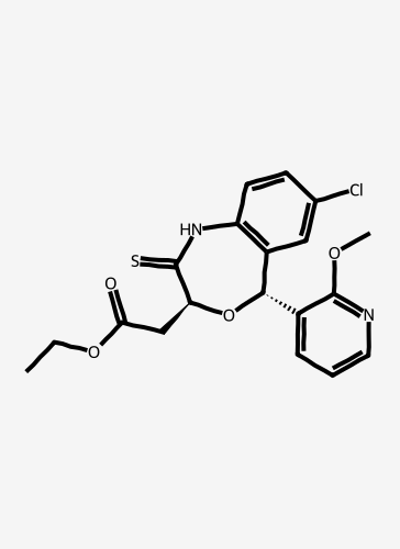 CCOC(=O)C[C@@H]1O[C@@H](c2cccnc2OC)c2cc(Cl)ccc2NC1=S